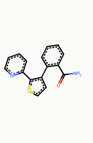 NC(=O)c1ccccc1-c1ccsc1-c1ccccn1